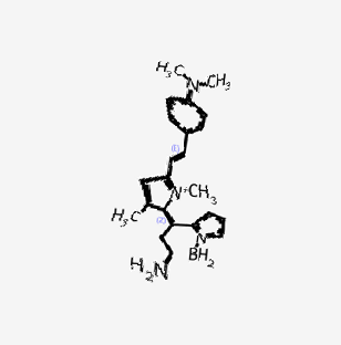 Bn1cccc1/C(CCN)=C1/C(C)=CC(/C=C/c2ccc(N(C)C)cc2)=[N+]1C